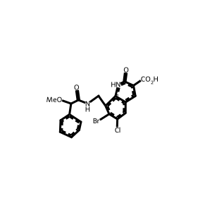 COC(C(=O)NCc1c(Br)c(Cl)cc2cc(C(=O)O)c(=O)[nH]c12)c1ccccc1